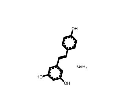 Oc1ccc(C=Cc2cc(O)cc(O)c2)cc1.[GeH4]